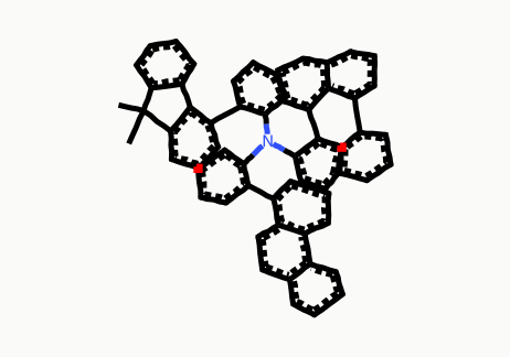 CC1(C)c2ccccc2-c2c(-c3ccccc3N(c3ccccc3-c3cccc4c3ccc3ccccc34)c3ccccc3-c3cccc4cccc(-c5ccccc5)c34)cccc21